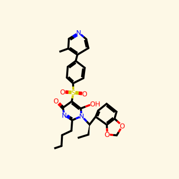 CCCCc1nc(=O)c(S(=O)(=O)c2ccc(-c3ccncc3C)cc2)c(O)n1[C@H](CC)c1cccc2c1OCO2